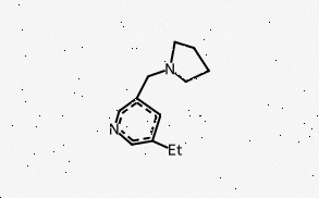 CCc1cncc(CN2CCCC2)c1